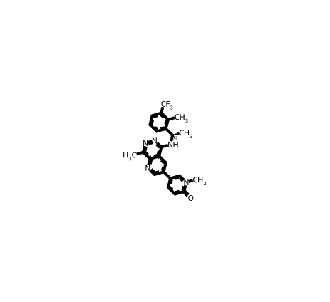 Cc1c([C@@H](C)Nc2nnc(C)c3ncc(-c4ccc(=O)n(C)c4)cc23)cccc1C(F)(F)F